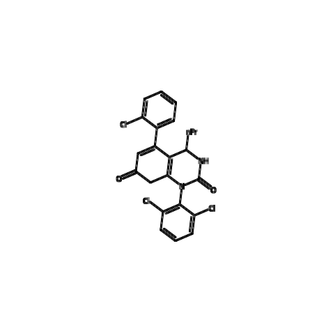 CCCC1NC(=O)N(c2c(Cl)cccc2Cl)C2=C1C(c1ccccc1Cl)=CC(=O)C2